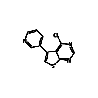 Clc1ncnc2scc(-c3cccnc3)c12